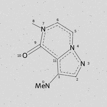 CNc1cnn2ccn(C)c(=O)c12